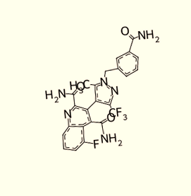 Cc1c(-c2c(C(N)=O)nc3cccc(F)c3c2C(N)=O)c(C(F)(F)F)nn1Cc1cccc(C(N)=O)c1